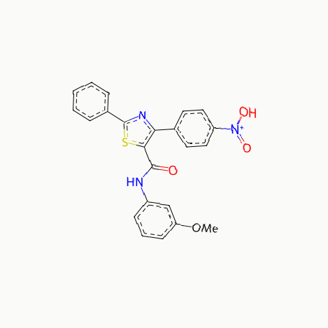 COc1cccc(NC(=O)c2sc(-c3ccccc3)nc2-c2ccc([N+](=O)O)cc2)c1